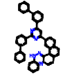 N=C1C=Cc2ccc3ccc(-c4cc(-c5cccc(-c6ccccc6)c5)nc(-c5cccc(-c6ccccc6)c5)n4)cc3c2/C1=N/Nc1ccccc1